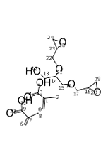 C=C(C)C(=O)O.C=C(C)C(=O)O.OCC(COCC1CO1)OCC1CO1